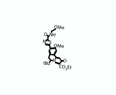 CCOC(=O)c1cn2c(cc1=O)-c1cc(OC)c(-c3cnc(C(=O)NCCOC)s3)cc1CC2C(C)(C)C